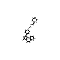 Cc1nn(-c2ccc(OCCCN3CCOCC3)cc2)c2c1CCc1ccccc1-2